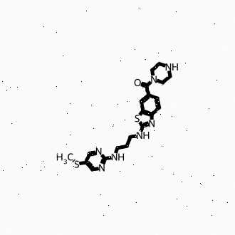 CSc1cnc(NCCCNc2nc3ccc(C(=O)N4CCNCC4)cc3s2)nc1